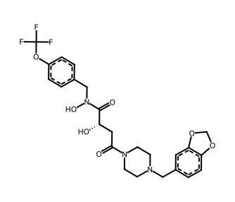 O=C([C@@H](O)CC(=O)N1CCN(Cc2ccc3c(c2)OCO3)CC1)N(O)Cc1ccc(OC(F)(F)F)cc1